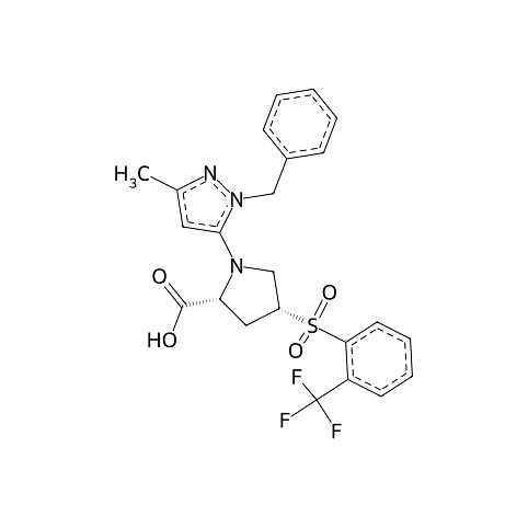 Cc1cc(N2C[C@H](S(=O)(=O)c3ccccc3C(F)(F)F)C[C@@H]2C(=O)O)n(Cc2ccccc2)n1